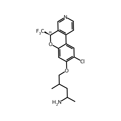 CC(N)CC(C)COc1cc2c(cc1Cl)-c1ccncc1[C@H](C(F)(F)F)O2